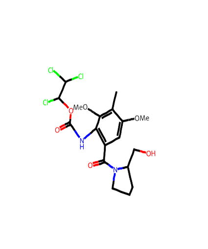 COc1cc(C(=O)N2CCCC2CO)c(NC(=O)OC(Cl)C(Cl)Cl)c(OC)c1C